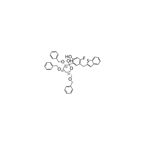 Oc1cc(F)c(Cc2cc3ccccc3s2)cc1C1(O)O[C@H](COCc2ccccc2)C[C@H](OCc2ccccc2)[C@@H]1OCc1ccccc1